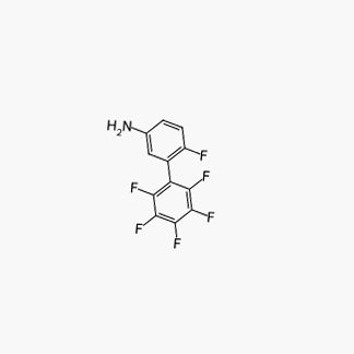 Nc1ccc(F)c(-c2c(F)c(F)c(F)c(F)c2F)c1